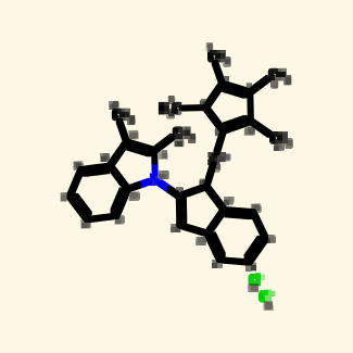 CC1=C(C)C(C)[C]([Zr+2][CH]2C(n3c(C)c(C)c4ccccc43)=Cc3ccccc32)=C1C.[Cl-].[Cl-]